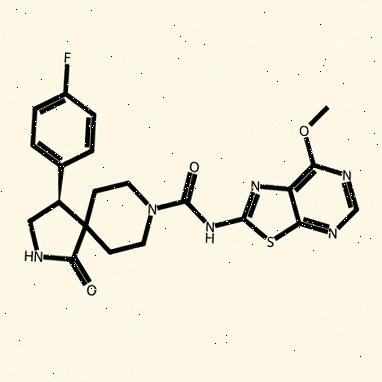 COc1ncnc2sc(NC(=O)N3CCC4(CC3)C(=O)NC[C@H]4c3ccc(F)cc3)nc12